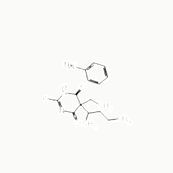 Brc1ccccc1.CCCC(C)C1(CC)C(=O)N=C([O-])NC1=O.[Na+]